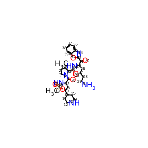 C[C@H]1CCN(C(=O)[C@@H](CCC2CCNCC2)NS(C)(=O)=O)[C@@H]1C(=O)N[C@@H](CCCCN)C(=O)c1nc2ccccc2o1